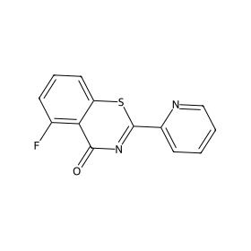 O=c1nc(-c2ccccn2)sc2cccc(F)c12